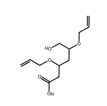 C=CCOC(CO)CC(CC(=O)O)OCC=C